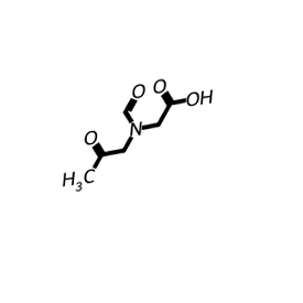 CC(=O)CN(C=O)CC(=O)O